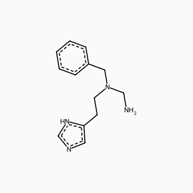 NCN(CCc1cnc[nH]1)Cc1ccccc1